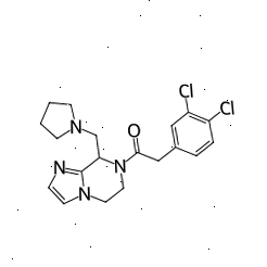 O=C(Cc1ccc(Cl)c(Cl)c1)N1CCn2ccnc2C1CN1CCCC1